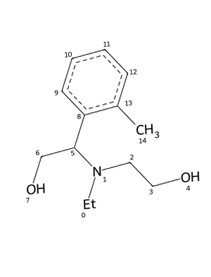 CCN(CCO)C(CO)c1ccccc1C